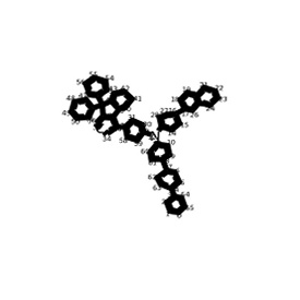 c1ccc(-c2ccc(-c3ccc(N(c4ccc(-c5ccc6ccccc6c5)cc4)c4ccc(-c5cccc6c5-c5ccccc5C6(c5ccccc5)c5ccccc5)cc4)cc3)cc2)cc1